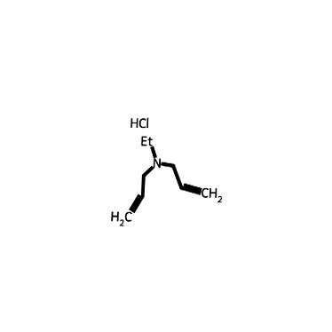 C=CCN(CC)CC=C.Cl